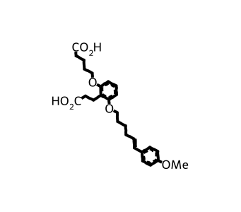 COc1ccc(C=CCCCCOc2cccc(OCCCCC(=O)O)c2CCC(=O)O)cc1